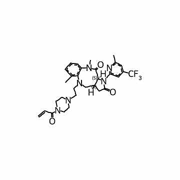 C=CC(=O)N1CCN(CCN2C[C@H]3CC(=O)N(c4cc(C(F)(F)F)cc(C)n4)[C@@H]3C(=O)N(C)c3cccc(C)c32)CC1